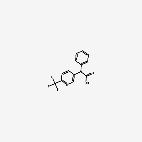 O=C(O)N(c1ccccc1)c1ccc(C(F)(F)F)nc1